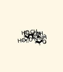 C=C1NC(=O)C=CN1[C@@H]1O[C@@](CO)(CF)[C@@H](O)[C@@]1(C)O